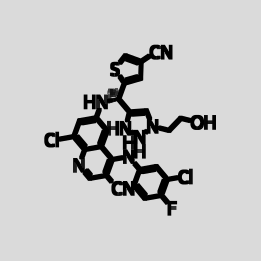 N#Cc1csc([C@H](Nc2cc(Cl)c3ncc(C#N)c(Nc4ccc(F)c(Cl)c4)c3c2)C2=CN(CCO)NN2)c1